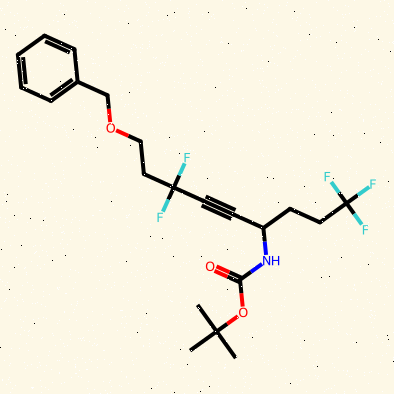 CC(C)(C)OC(=O)NC(C#CC(F)(F)CCOCc1ccccc1)CCC(F)(F)F